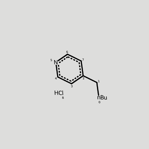 CCCCCc1ccncc1.Cl